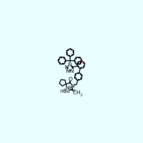 C=C(CCCC)N(Cc1ccc(-c2ccccc2-c2nnnn2C(c2ccccc2)(c2ccccc2)c2ccccc2)cc1)C(=O)C1(N)CCCC1